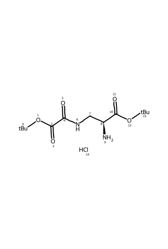 CC(C)(C)OC(=O)C(=O)NC[C@H](N)C(=O)OC(C)(C)C.Cl